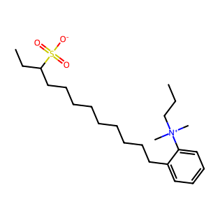 CCC[N+](C)(C)c1ccccc1CCCCCCCCCC(CC)S(=O)(=O)[O-]